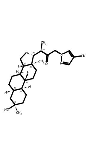 C[C@@H](C(=O)Cn1cc(C#N)cn1)[C@H]1CC[C@H]2[C@@H]3CC[C@@H]4C[C@](C)(O)CC[C@@H]4[C@H]3CC[C@]12C